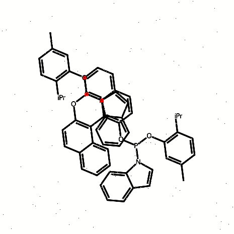 Cc1ccc(C(C)C)c(OP(Oc2ccc3ccccc3c2-c2c(OP(Oc3cc(C)ccc3C(C)C)n3ccc4ccccc43)ccc3ccccc23)n2ccc3ccccc32)c1